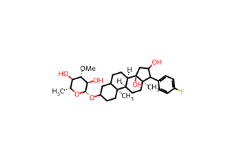 CO[C@@H]1[C@@H](O)[C@H](OC2CC[C@@]3(C)C(CC[C@@H]4[C@H]3CC[C@]3(C)C(c5ccc(F)cc5)C(O)C[C@@]43O)C2)O[C@H](C)[C@H]1O